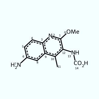 COc1nc2ccc(N)cc2c(C)c1NC(=O)O